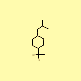 C[C](C)CC1CCC(C(C)(C)C)CC1